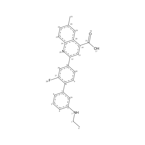 CCNc1cccc(-c2ccc(-c3cc(C(=O)O)c4cc(C)ccc4n3)cc2F)c1